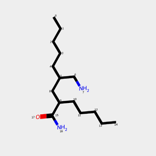 CCCCCC(CN)CC(CCCCC)C(N)=O